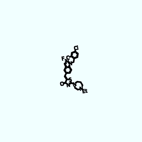 CCN1CCCN(C2=NC(=O)/C(=C/c3ccc4c(cnn4Cc4ccc(Cl)cc4C(F)(F)F)c3)S2)CC1